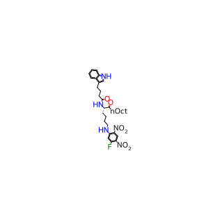 CCCCCCCCC(=O)[C@H](CCCCNc1cc(F)c([N+](=O)[O-])cc1[N+](=O)[O-])NC(=O)CCCc1c[nH]c2ccccc12